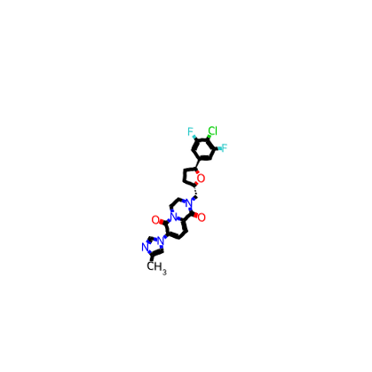 Cc1cn(-c2ccc3n(c2=O)CCN(C[C@@H]2CC[C@@H](c4cc(F)c(Cl)c(F)c4)O2)C3=O)cn1